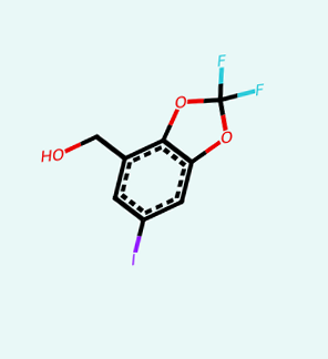 OCc1cc(I)cc2c1OC(F)(F)O2